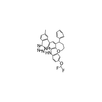 Cc1ccc(-c2nnn[nH]2)c(-c2cc(Nc3ccc(OC(F)F)cc3)c3c(c2)C(c2ccccc2)CCCO3)c1